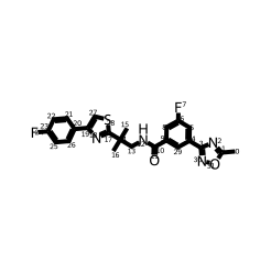 Cc1nc(-c2cc(F)cc(C(=O)NCC(C)(C)c3nc(-c4ccc(F)cc4)cs3)c2)no1